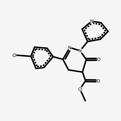 COC(=O)C1CC(c2ccc(Cl)cc2)=NN(c2cccnc2)C1=O